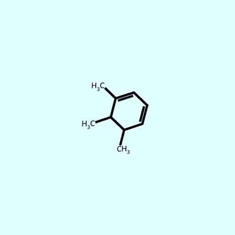 CC1=CC=CC(C)C1C